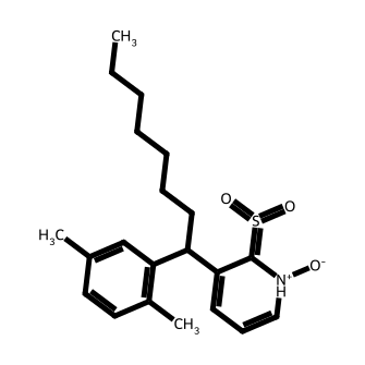 CCCCCCCC(C1=CC=C[NH+]([O-])C1=S(=O)=O)c1cc(C)ccc1C